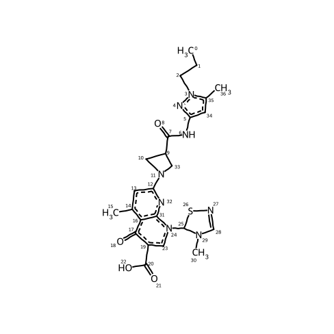 CCCn1nc(NC(=O)C2CN(c3cc(C)c4c(=O)c(C(=O)O)cn(C5SN=CN5C)c4n3)C2)cc1C